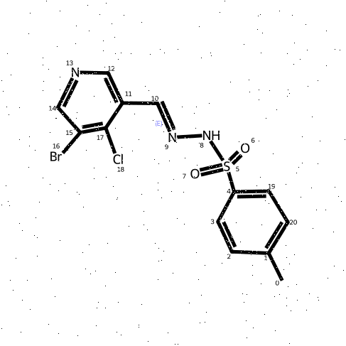 Cc1ccc(S(=O)(=O)N/N=C/c2cncc(Br)c2Cl)cc1